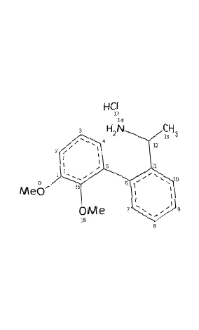 COc1cccc(-c2ccccc2C(C)N)c1OC.Cl